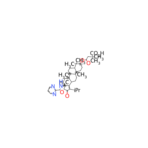 CC(C)C1=C2C3CCC4[C@@]5(C)CC[C@H](OC(=O)CC(C)(C)C(=O)O)C(C)(C)C5CC[C@@]4(C)[C@]3(C)CC[C@@]2(NC(=O)c2ncccn2)CC1=O